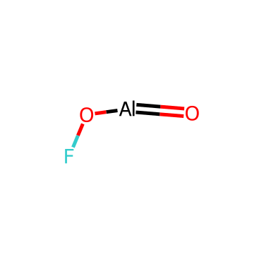 [O]=[Al][O]F